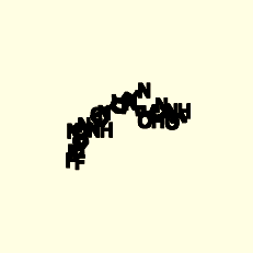 C=CC(=O)Nc1ccc(C2(O)CC(n3c(C#N)cc4c(C)c(CN5CCC(Nc6ncnc7sc(CC(F)(F)F)cc67)CC5)ccc43)C2)cn1